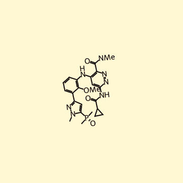 CNC(=O)c1nnc(NC(=O)C2CC2)cc1Nc1cccc(-c2cc(P(C)(C)=O)n(C)n2)c1OC